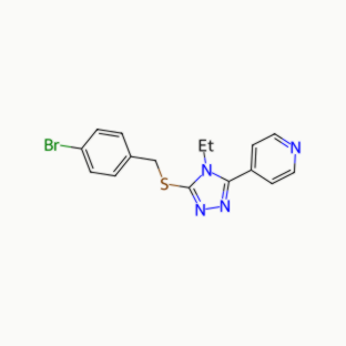 CCn1c(SCc2ccc(Br)cc2)nnc1-c1ccncc1